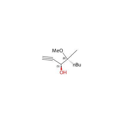 C#C[C@H](O)[C@@](C)(CCCC)OC